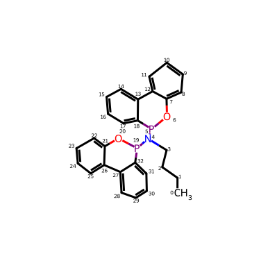 CCCCN(P1Oc2ccccc2-c2ccccc21)P1Oc2ccccc2-c2ccccc21